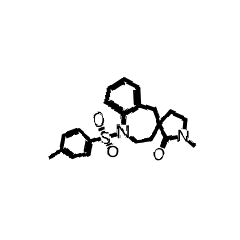 Cc1ccc(S(=O)(=O)N2CCC3(CCN(C)C3=O)Cc3ccccc32)cc1